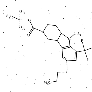 CCCOc1cc2c(c(C(F)(F)F)c1)N(C)C1CCN(C(=O)OC(C)(C)C)CC21